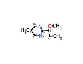 CC[C@H](OC)c1ncc(C)cn1